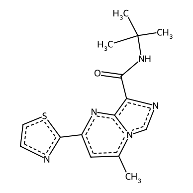 Cc1cc(-c2nccs2)nc2c(C(=O)NC(C)(C)C)ncn12